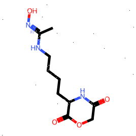 C/C(=N\O)NCCCCC1NC(=O)COC1=O